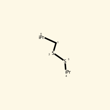 CC(C)CSSC(C)C